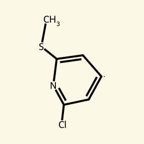 CSc1c[c]cc(Cl)n1